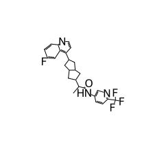 CC(C(=O)Nc1ccc(C(F)(F)F)nc1)C1CC2CC(c3ccnc4ccc(F)cc34)CC2C1